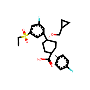 CCS(=O)(=O)c1cc(F)cc([C@]2(OCC3CC3)CC[C@@](C(=O)O)(c3ccc(F)cc3)CC2)c1